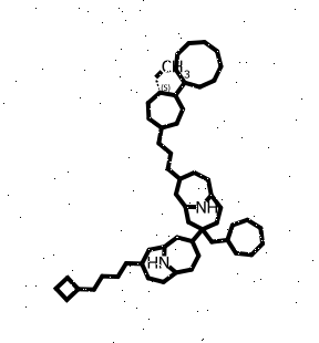 CC[C@H]1CCC(CCCC2CCC3CCC(CC4CCCCCC4)(C4CCC5CCC(CCCCC6CCC6)CC(C4)N5)CC(C2)N3)CCC1C1CCCCCCCC1